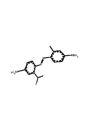 Cc1cc(N)ccc1/N=N/c1ccc(N)cc1C(F)F